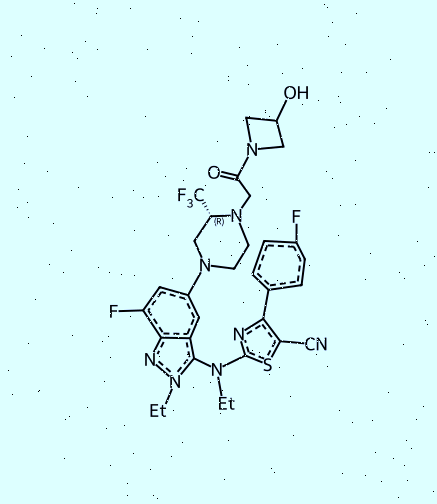 CCN(c1nc(-c2ccc(F)cc2)c(C#N)s1)c1c2cc(N3CCN(CC(=O)N4CC(O)C4)[C@@H](C(F)(F)F)C3)cc(F)c2nn1CC